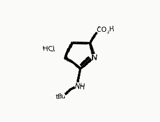 CC(C)(C)NC1=NC(C(=O)O)CC1.Cl